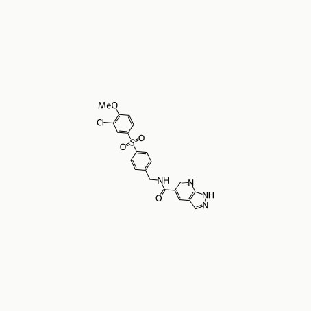 COc1ccc(S(=O)(=O)c2ccc(CNC(=O)c3cnc4[nH]ncc4c3)cc2)cc1Cl